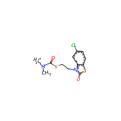 CN(C)C(=O)SCCn1c(=O)sc2ccc(Cl)cc21